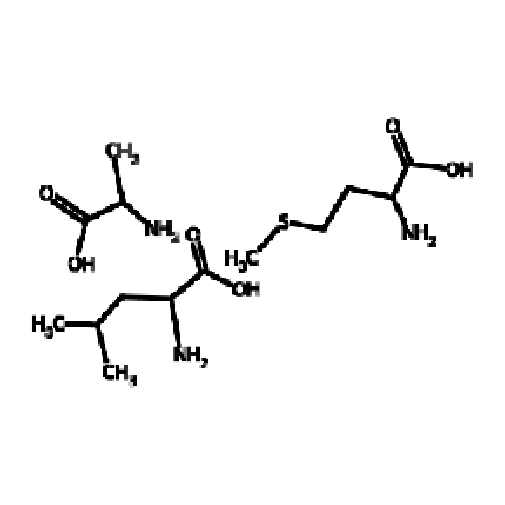 CC(C)CC(N)C(=O)O.CC(N)C(=O)O.CSCCC(N)C(=O)O